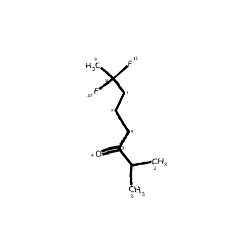 CC(C)C(=O)CCCC(C)(F)F